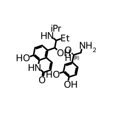 CCC(NC(C)C)C(O)c1ccc(O)c2[nH]c(=O)ccc12.NC[C@H](O)c1ccc(O)c(O)c1